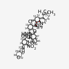 CC1(C)CCC(CN2CCN(c3cccc(C(=O)NS(=O)(=O)c4ccc(NCC5CCOCC5)c([N+](=O)[O-])c4)c3Oc3cnc4[nH]ccc4c3)CC2)=C(c2ccc(Cl)c(C(F)(F)F)c2)C1